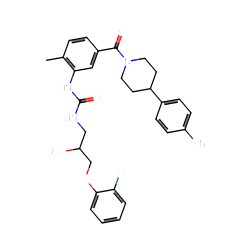 Cc1ccc(C(=O)N2CCC(c3ccc(C#N)cc3)CC2)cc1NC(=O)NCC(O)COc1ccccc1Cl